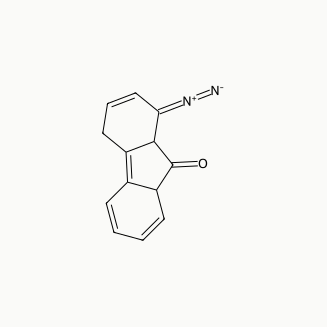 [N-]=[N+]=C1C=CCC2=C3C=CC=CC3C(=O)C12